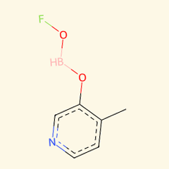 Cc1ccncc1OBOF